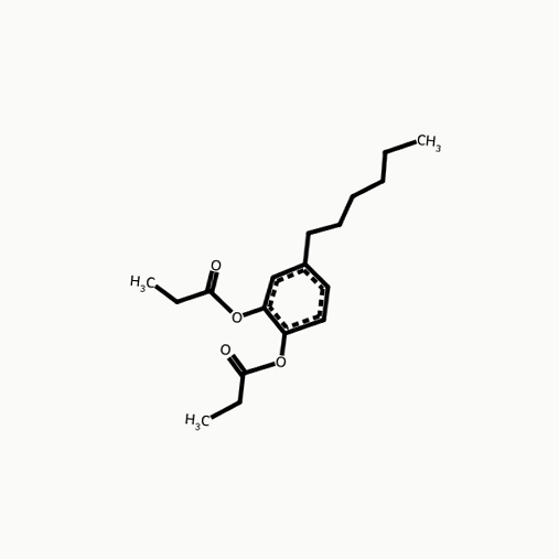 CCCCCCc1ccc(OC(=O)CC)c(OC(=O)CC)c1